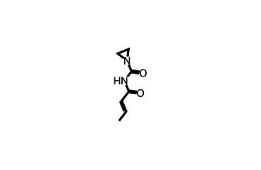 CC=CC(=O)NC(=O)N1CC1